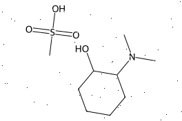 CN(C)C1CCCCC1O.CS(=O)(=O)O